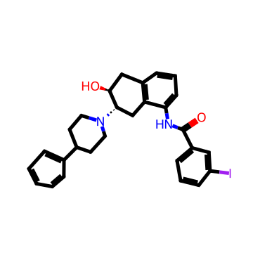 O=C(Nc1cccc2c1C[C@H](N1CCC(c3ccccc3)CC1)[C@@H](O)C2)c1cccc(I)c1